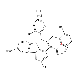 CC(C)(C)c1ccc2c(c1)-c1cc(C(C)(C)C)c[c]([Zr]([C]3=CC=CC3)=[C](Cc3ccccc3Br)Cc3ccccc3Br)c1C2.Cl.Cl